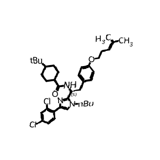 CCCCn1cc(-c2ccc(Cl)cc2Cl)nc1[C@H](Cc1ccc(OCCC=C(C)C)cc1)NC(=O)C1CCC(C(C)(C)C)CC1